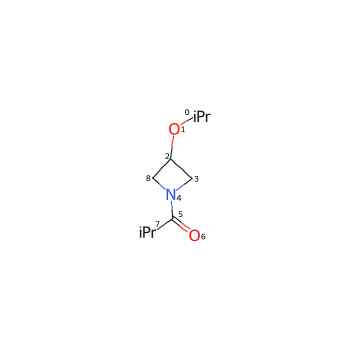 CC(C)OC1CN(C(=O)C(C)C)C1